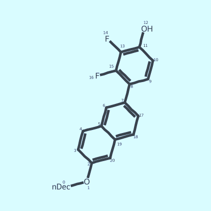 CCCCCCCCCCOc1ccc2cc(-c3ccc(O)c(F)c3F)ccc2c1